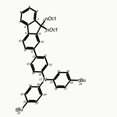 CCCCCCCCC1(CCCCCCCC)c2ccccc2-c2ccc(-c3ccc(N(c4ccc(C(C)(C)C)cc4)c4ccc(C(C)(C)C)cc4)cc3)cc21